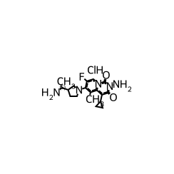 Cc1c(N2CCC([C@H](C)N)C2)c(F)cn2c(=O)n(N)c(=O)c(C3CC3)c12.Cl